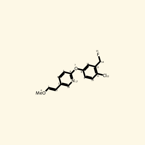 COC=Cc1ccc(Oc2ccc(Cl)c(CF)c2)nc1